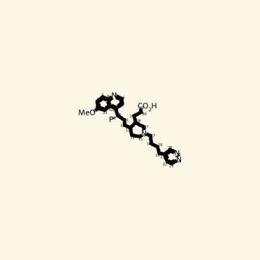 COc1ccc2nccc([C@@H](F)CCC3CCN(CCCCc4ccnnc4)CC3CCC(=O)O)c2c1